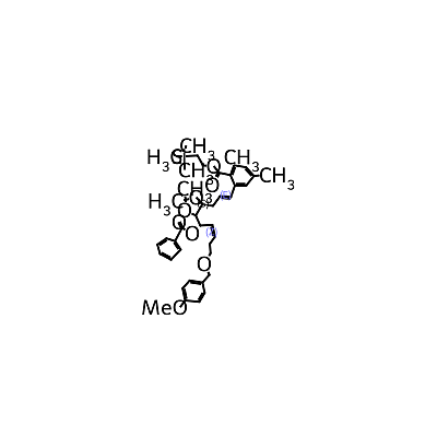 COc1ccc(COCC/C=C\C(OC(=O)c2ccccc2)C2OC(C)(C)O[C@H]2C/C=C/c2cc(C)cc(C)c2C(=O)OCC[Si](C)(C)C)cc1